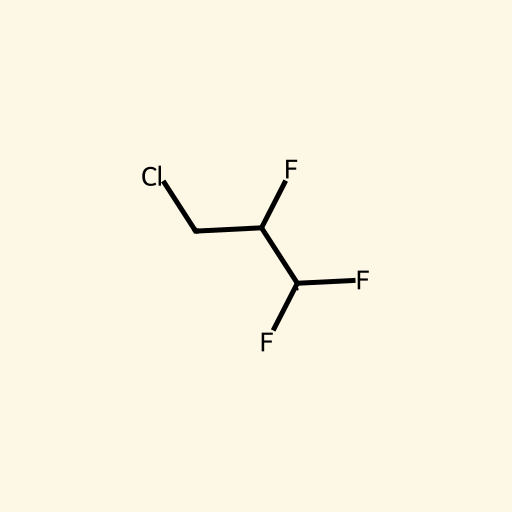 F[C](F)C(F)CCl